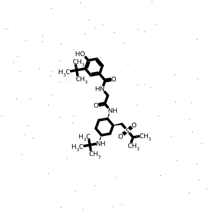 CC(C)S(=O)(=O)C[C@H]1C[C@H](NC(C)(C)C)CC[C@@H]1NC(=O)CNC(=O)c1ccc(O)c(C(C)(C)C)c1